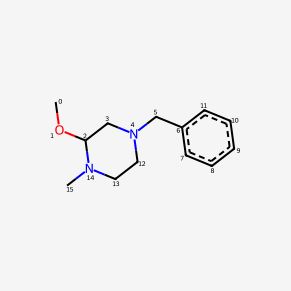 COC1CN(Cc2ccccc2)CCN1C